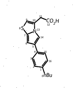 CCCCc1ccc(-c2cc3scc(CC(=O)O)n3c2)cc1